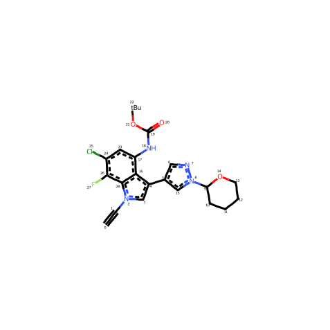 C#Cn1cc(-c2cnn(C3CCCCO3)c2)c2c(NC(=O)OC(C)(C)C)cc(Cl)c(F)c21